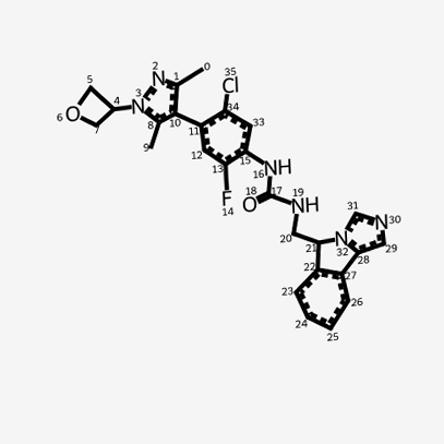 Cc1nn(C2COC2)c(C)c1-c1cc(F)c(NC(=O)NCC2c3ccccc3-c3cncn32)cc1Cl